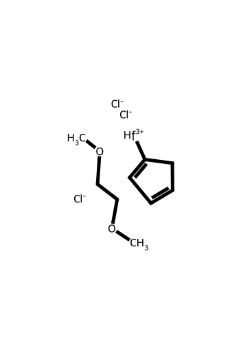 COCCOC.[Cl-].[Cl-].[Cl-].[Hf+3][C]1=CC=CC1